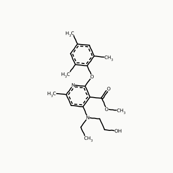 CCN(CCO)c1cc(C)nc(Oc2c(C)cc(C)cc2C)c1C(=O)OC